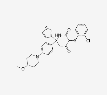 COC1CCN(c2ccc(C3(c4ccsc4)CC(=O)C(Sc4ccccc4Cl)C(=O)N3)cc2)CC1